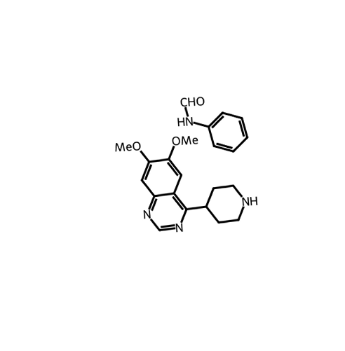 COc1cc2ncnc(C3CCNCC3)c2cc1OC.O=CNc1ccccc1